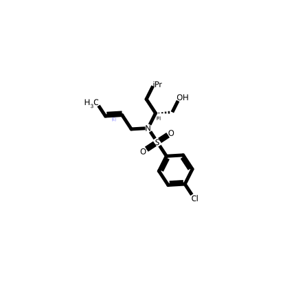 C/C=C/CN([C@@H](CO)CC(C)C)S(=O)(=O)c1ccc(Cl)cc1